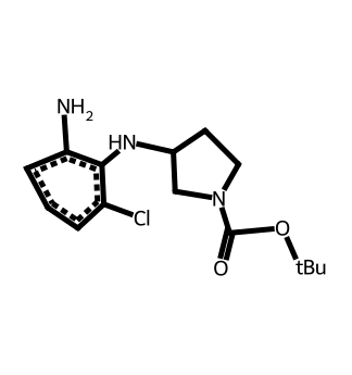 CC(C)(C)OC(=O)N1CCC(Nc2c(N)cccc2Cl)C1